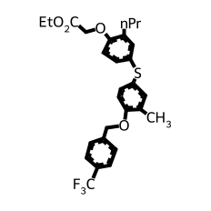 CCCc1cc(Sc2ccc(OCc3ccc(C(F)(F)F)cc3)c(C)c2)ccc1OCC(=O)OCC